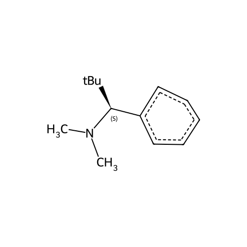 CN(C)[C@H](c1ccccc1)C(C)(C)C